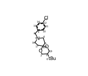 CC(C)(C)C1COC2(CCN(Cc3ccc(Cl)cc3)CC2)OC1